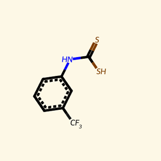 FC(F)(F)c1cccc(NC(=S)S)c1